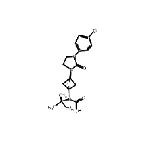 CC(C)(C)N(C(=O)O)C12CC(N3CCN(c4ccc(Cl)cc4)C3=O)(C1)C2